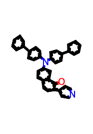 c1ccc(-c2ccc(N(c3ccc(-c4ccccc4)cc3)c3ccc4ccc5c6ccncc6oc5c4c3)cc2)cc1